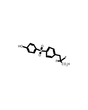 O=C(O)C(F)(F)Cc1ccc(S(=O)(=O)c2ccc(O)cc2)cc1